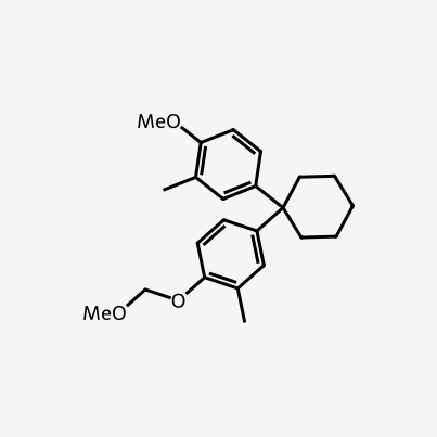 COCOc1ccc(C2(c3ccc(OC)c(C)c3)CCCCC2)cc1C